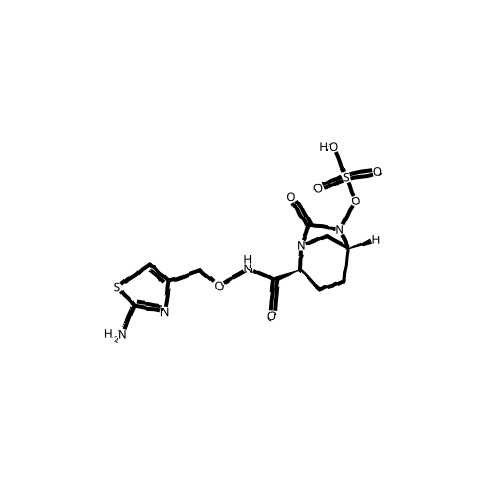 Nc1nc(CONC(=O)[C@@H]2CC[C@@H]3CN2C(=O)N3OS(=O)(=O)O)cs1